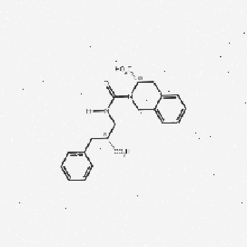 CCN(C[C@@H](Cc1ccccc1)C(=O)O)C(=O)N1Cc2ccccc2C[C@H]1C(=O)O